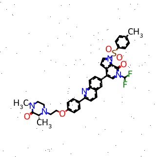 Cc1ccc(S(=O)(=O)n2ccc3c(-c4ccc5nc(-c6ccc(OCCN7CCN(C)C(=O)[C@H]7C)cc6)ccc5c4)cn(C(F)F)c(=O)c32)cc1